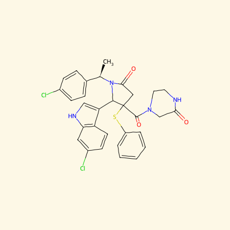 C[C@H](c1ccc(Cl)cc1)N1C(=O)CC(Sc2ccccc2)(C(=O)N2CCNC(=O)C2)C1c1c[nH]c2cc(Cl)ccc12